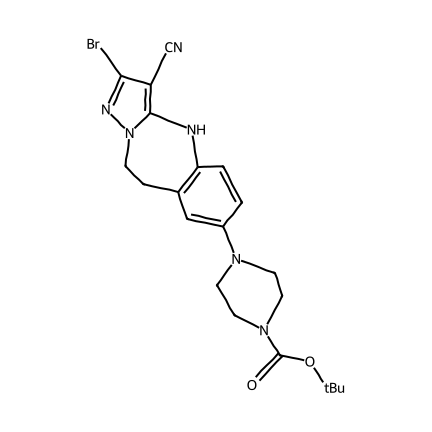 CC(C)(C)OC(=O)N1CCN(c2ccc3c(c2)CCn2nc(Br)c(C#N)c2N3)CC1